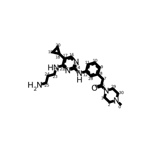 CN1CCN(C(=O)Cc2cccc(Nc3ncc(C4CC4)c(NCCCN)n3)c2)CC1